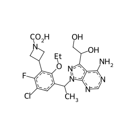 CCOc1c(C(C)n2nc(C(O)CO)c3c(N)ncnc32)cc(Cl)c(F)c1C1CN(C(=O)O)C1